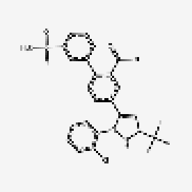 CS(=O)(=O)c1cccc(-c2ccc(C3=CC(C(F)(F)F)NN3c3ccccc3Cl)cc2C(=O)O)c1